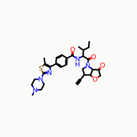 C#CC1CN(C(=O)C(NC(=O)c2ccc(-c3nc(N4CCN(C)CC4)sc3C)cc2)C(C)CC)C2C(=O)COC12